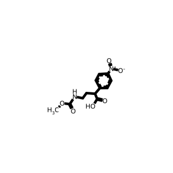 COC(=O)NCCC(C(=O)O)c1ccc([N+](=O)[O-])cc1